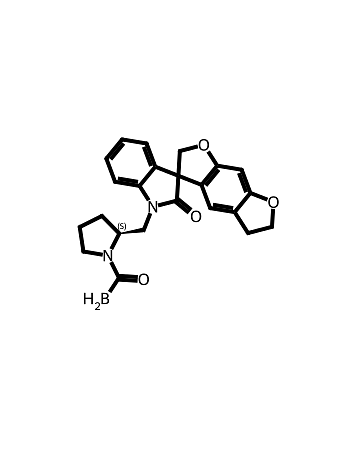 BC(=O)N1CCC[C@H]1CN1C(=O)C2(COc3cc4c(cc32)CCO4)c2ccccc21